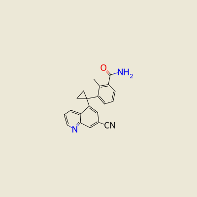 Cc1c(C(N)=O)cccc1C1(c2cc(C#N)cc3ncccc23)CC1